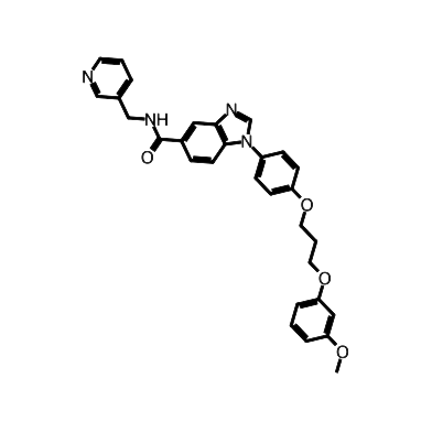 COc1cccc(OCCCOc2ccc(-n3cnc4cc(C(=O)NCc5cccnc5)ccc43)cc2)c1